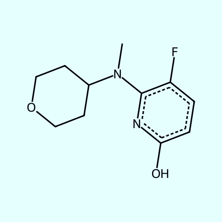 CN(c1nc(O)ccc1F)C1CCOCC1